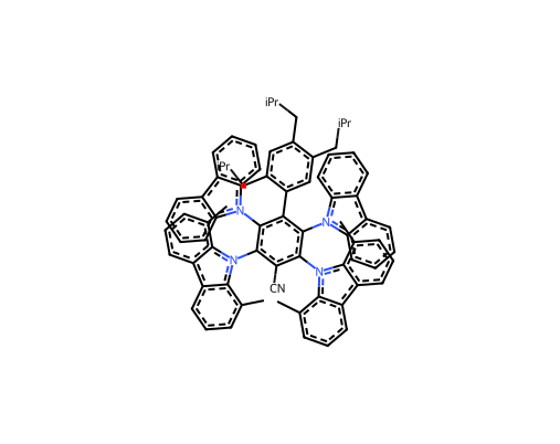 Cc1cccc2c3cccc(C)c3n(-c3c(C#N)c(-n4c5c(C)cccc5c5cccc(C)c54)c(-n4c5ccccc5c5ccccc54)c(-c4cc(CC(C)C)c(CC(C)C)cc4CC(C)C)c3-n3c4ccccc4c4ccccc43)c12